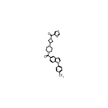 O=C(c1ccc2c(ccn2-c2ccc(C(F)(F)F)cc2)c1)N1CCN(C2CN(C(=O)c3cscn3)C2)CC1